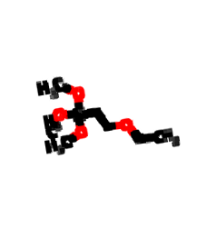 CCOCC[Si](OC)(OC)OC